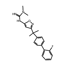 CN(C)C(=N)Nc1cc(C(C)(C)c2ccc(-c3ccccc3F)cc2)no1